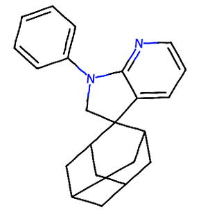 c1ccc(N2CC3(c4cccnc42)C2CC4CC(C2)CC3C4)cc1